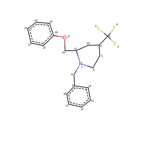 FC(F)(F)C1CCN(Cc2ccccc2)C(COc2ccccc2)C1